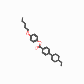 CCCCCOc1ccc(OC(=O)c2ccc(C3CCC(CC)CC3)cc2)cc1